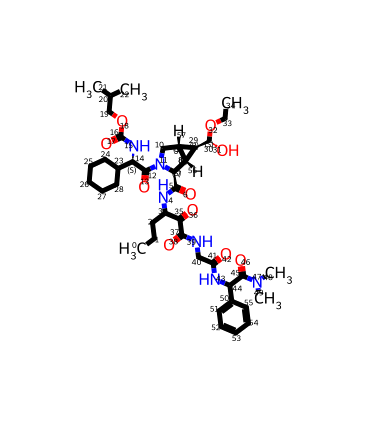 CCCC(NC(=O)[C@@H]1[C@@H]2[C@H](CN1C(=O)[C@@H](NC(=O)OCC(C)C)C1CCCCC1)[C@H]2[C@@H](O)OCC)C(=O)C(=O)NCC(=O)NC(C(=O)N(C)C)c1ccccc1